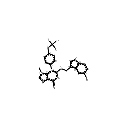 Cn1cnc2c(=O)nc(SCc3csc4ccc(Cl)cc34)n(-c3ccc(OC(F)(F)F)cc3)c21